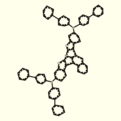 c1ccc(-c2ccc(N(c3ccc(-c4ccccc4)cc3)c3ccc4c(c3)oc3c4c4c5ccccc5cc5c6c7ccc(N(c8ccc(-c9ccccc9)cc8)c8ccc(-c9ccccc9)cc8)cc7sc6n3c54)cc2)cc1